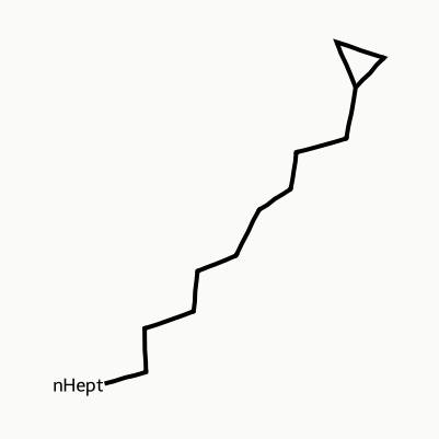 CCCCCCCCCCCCCCCCC1CC1